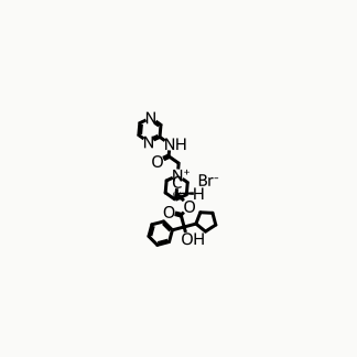 O=C(C[N+]12CCC(CC1)[C@@H](OC(=O)C(O)(c1ccccc1)C1CCCC1)C2)Nc1cnccn1.[Br-]